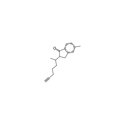 C#CCCCC(C)C1Cc2cc(C)ccc2C1=O